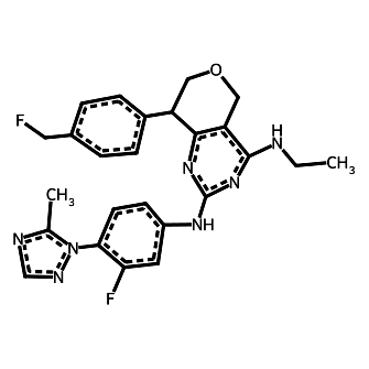 CCNc1nc(Nc2ccc(-n3ncnc3C)c(F)c2)nc2c1COCC2c1ccc(CF)cc1